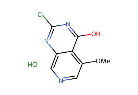 COc1cncc2nc(Cl)nc(O)c12.Cl